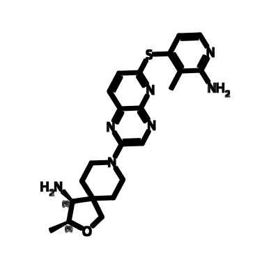 Cc1c(Sc2ccc3nc(N4CCC5(CC4)CO[C@@H](C)[C@H]5N)cnc3n2)ccnc1N